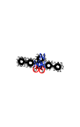 O=c1c(=O)n(-c2ccc(-c3ccccc3)cc2)c2cnccc2n1-c1ccc(-c2ccccc2)cc1